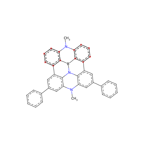 CN1c2ccccc2B(N2c3c(-c4ccccc4)cc(-c4ccccc4)cc3N(C)c3cc(-c4ccccc4)cc(-c4ccccc4)c32)c2ccccc21